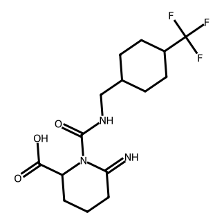 N=C1CCCC(C(=O)O)N1C(=O)NCC1CCC(C(F)(F)F)CC1